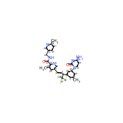 Cc1cc(C(/C=C/c2cnc(C(=O)NCc3ccc(C)nc3)c(C)c2)C(F)(F)F)cc(-n2ccc(N)nc2=O)c1